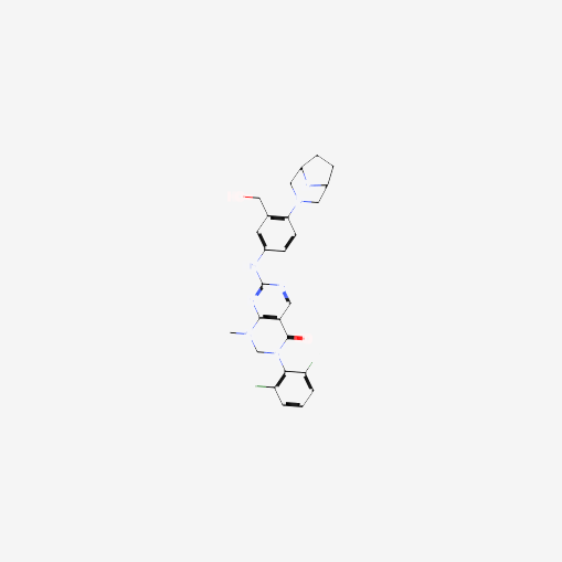 CN1CN(c2c(Cl)cccc2Cl)C(=O)c2cnc(Nc3ccc(N4CC5CCC(C4)N5)c(CO)c3)nc21